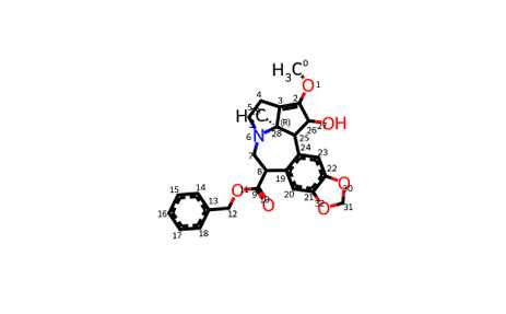 COC1=C2CCN3CC(C(=O)OCc4ccccc4)c4cc5c(cc4C(C1O)[C@]23C)OCO5